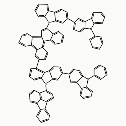 c1ccc(-n2c3ccccc3c3cc(-c4ccc5c6ccccc6n(-c6cc7c8ccccc8c8cc(-c9cccc%10c9c9ccc(-c%11ccc%12c(c%11)c%11ccccc%11n%12-c%11ccccc%11)cc9n%10-c9ccc%10c%11c(cccc9%11)-c9ccccc9-%10)ccc8c7c7ccccc67)c5c4)ccc32)cc1